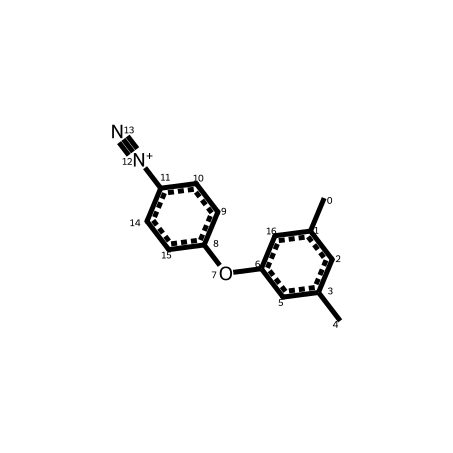 Cc1cc(C)cc(Oc2ccc([N+]#N)cc2)c1